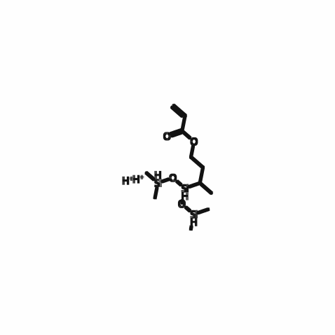 C=CC(=O)OCCC(C)[SiH](O[SiH](C)C)O[SiH](C)C.[H+].[H+]